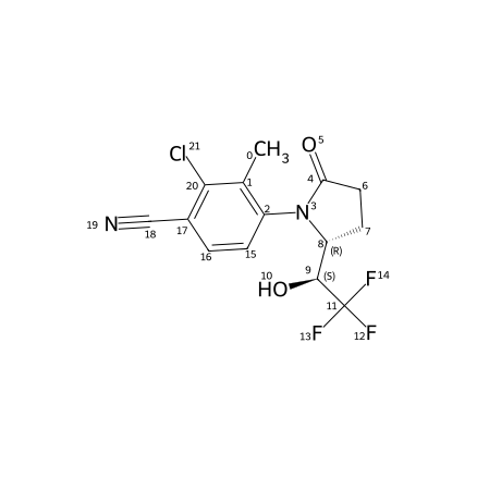 Cc1c(N2C(=O)CC[C@@H]2[C@H](O)C(F)(F)F)ccc(C#N)c1Cl